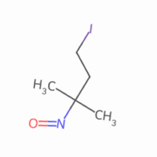 CC(C)(CCI)N=O